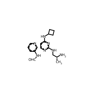 C[C@H](N)CNc1nccc(NC2CCC2)n1.O=CNc1cccnc1